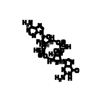 Nc1nc2c(ncn2[C@@H]2S[C@@H]3CO[P@](=O)(S)O[C@H]4[C@H](F)[C@H](n5cnc6c(N)ncnc65)O[C@@H]4CO[P@@](=O)(S)O[C@@H]2[C@@H]3O)c(=O)[nH]1